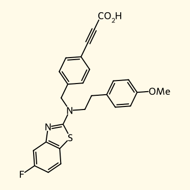 COc1ccc(CCN(Cc2ccc(C#CC(=O)O)cc2)c2nc3cc(F)ccc3s2)cc1